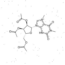 CC(=O)OC[C@H]1O[C@@H](n2c[n+](C)c3c(=O)n(C)c(=O)[nH]c32)[C@H](OC(C)=O)[C@@H]1OC(C)=O